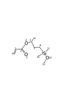 C=CC(=O)OC(C)CC[Si](C)(C)OC